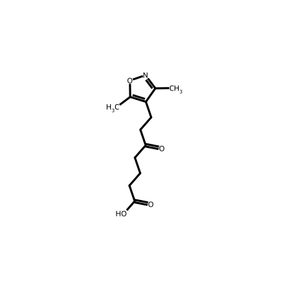 Cc1noc(C)c1CCC(=O)CCCC(=O)O